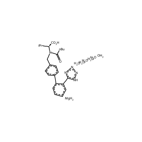 CCCCC(=O)N(Cc1ccc(-c2ccccc2-c2nnn[nH]2)cc1)[C@H](C(=O)O)C(C)C.O.O.O.O.O.O.[MgH2]